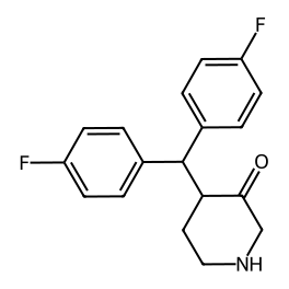 O=C1CNCCC1C(c1ccc(F)cc1)c1ccc(F)cc1